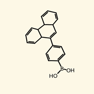 OB(O)c1ccc(C2=CC3C=CC=CC3C3C=CC=CC23)cc1